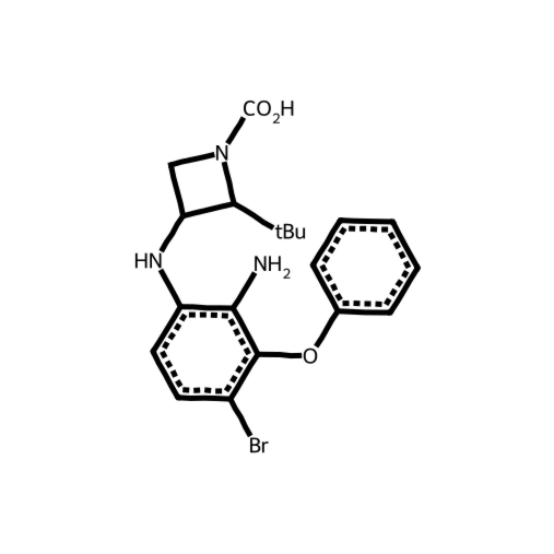 CC(C)(C)C1C(Nc2ccc(Br)c(Oc3ccccc3)c2N)CN1C(=O)O